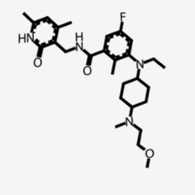 CCN(c1cc(F)cc(C(=O)NCc2c(C)cc(C)[nH]c2=O)c1C)C1CCC(N(C)CCOC)CC1